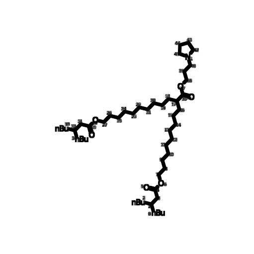 CCCCC(CCCC)CC(=O)OCCCCCCCCCCC(CCCCCCCCCCOC(=O)CC(CCCC)CCCC)C(=O)OCCCN1CCCC1